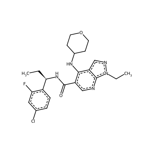 CC[C@@H](NC(=O)c1cnc2c(cnn2CC)c1NC1CCOCC1)c1ccc(Cl)cc1F